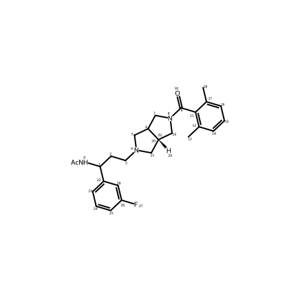 CC(=O)NC(CCN1CC2CN(C(=O)c3c(C)cccc3C)C[C@@H]2C1)c1cccc(F)c1